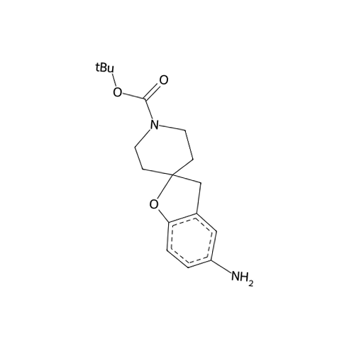 CC(C)(C)OC(=O)N1CCC2(CC1)Cc1cc(N)ccc1O2